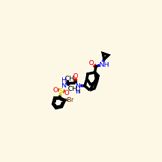 CC(C)(NS(=O)(=O)c1ccccc1Br)C(=O)NC1C2CC3CC1CC(C(=O)NC1CC1)(C3)C2